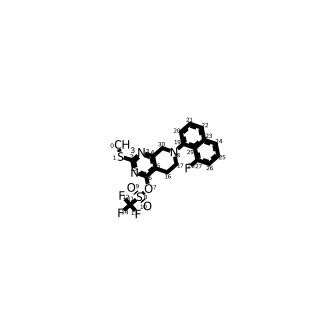 CSc1nc2c(c(OS(=O)(=O)C(F)(F)F)n1)CCN(c1cccc3cccc(F)c13)C2